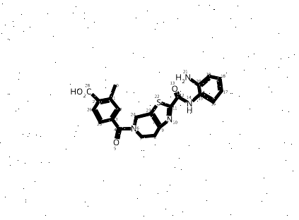 Cc1cc(C(=O)N2CCc3nc(C(=O)Nc4ccccc4N)sc3C2)ccc1C(=O)O